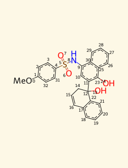 COc1ccc(S(=O)(=O)Nc2cc(C3(O)CC=Cc4ccccc43)c(O)c3ccccc23)cc1